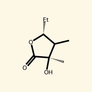 CC[C@H]1OC(=O)[C@](C)(O)C1C